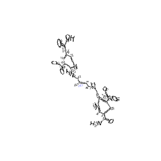 NC(=O)c1cnc(NC/C=C/CNc2ncc(C(=O)O)cc2[N+](=O)[O-])c([N+](=O)[O-])c1